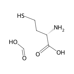 N[C@@H](CCS)C(=O)O.O=CO